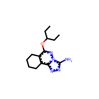 CCC(CC)Oc1nn2c(N)nnc2c2c1CCCC2